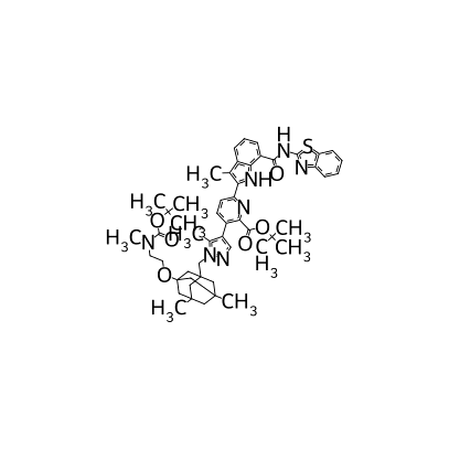 Cc1c(-c2ccc(-c3cnn(CC45CC6(C)CC(C)(C4)CC(OCCN(C)C(=O)OC(C)(C)C)(C6)C5)c3C)c(C(=O)OC(C)(C)C)n2)[nH]c2c(C(=O)Nc3nc4ccccc4s3)cccc12